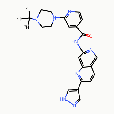 [2H]C([2H])([2H])N1CCN(c2cc(C(=O)Nc3cc4nc(-c5cn[nH]c5)ccc4cn3)ccn2)CC1